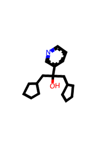 OC(CC1CCCC1)(CC1CCCC1)c1cccnc1